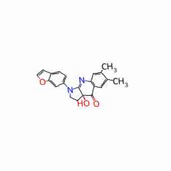 Cc1cc2c(cc1C)C(=O)[C@]1(O)CCN(c3ccc4ccoc4c3)C1=N2